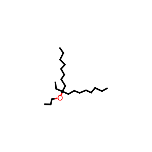 CCCCCCCCC(CC)(CCCCCCCC)OCCC